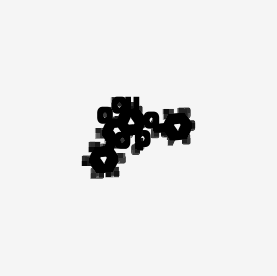 COc1c(OCc2ccccc2)cc(O)c2c(=O)cc(-c3ccccc3)oc12